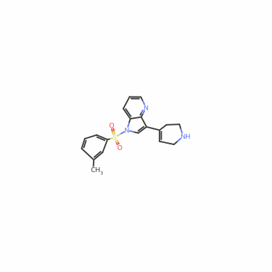 Cc1cccc(S(=O)(=O)n2cc(C3=CCNCC3)c3ncccc32)c1